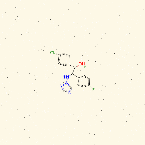 OC(c1ccc(Cl)cc1)C(Nn1cncn1)c1ccc(F)cc1F